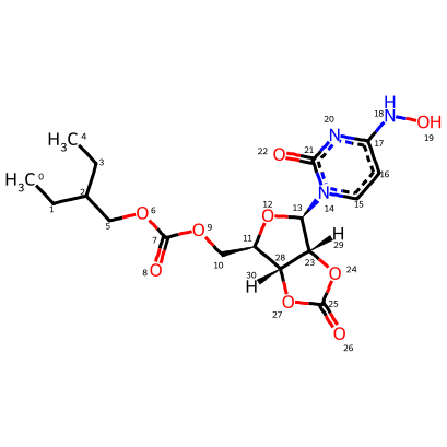 CCC(CC)COC(=O)OC[C@H]1O[C@@H](n2ccc(NO)nc2=O)[C@@H]2OC(=O)O[C@@H]21